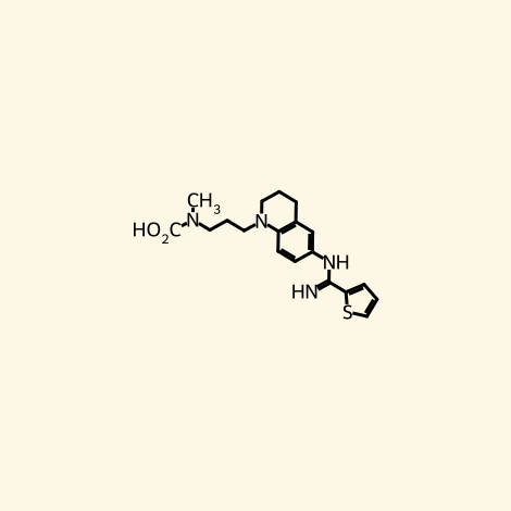 CN(CCCN1CCCc2cc(NC(=N)c3cccs3)ccc21)C(=O)O